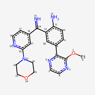 CCOc1nccnc1-c1ccc(N)c(C(=N)c2ccnc(N3CCOCC3)c2)c1